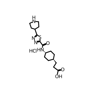 Cl.O=C(O)CC[C@H]1CC[C@H](NC(=O)c2nnc(C3CCNCC3)s2)CC1